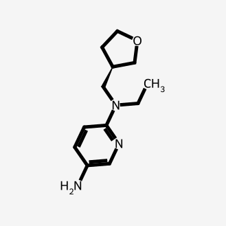 CCN(C[C@H]1CCOC1)c1ccc(N)cn1